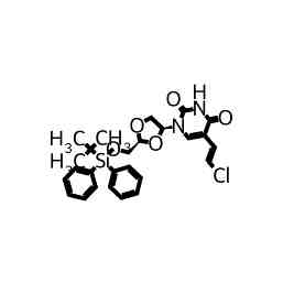 CC(C)(C)[Si](OC[C@H]1OC[C@@H](n2cc(/C=C/Cl)c(=O)[nH]c2=O)O1)(c1ccccc1)c1ccccc1